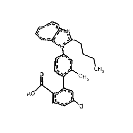 CCCCc1nc2ccccc2n1-c1ccc(-c2cc(Cl)ccc2C(=O)O)c(C)c1